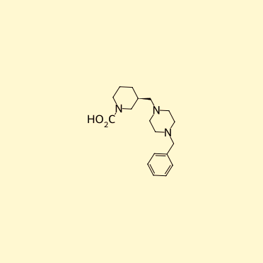 O=C(O)N1CCC[C@@H](CN2CCN(Cc3ccccc3)CC2)C1